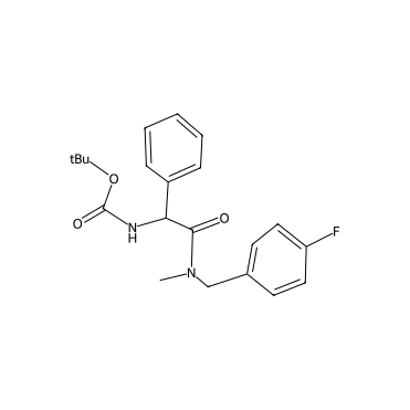 CN(Cc1ccc(F)cc1)C(=O)C(NC(=O)OC(C)(C)C)c1ccccc1